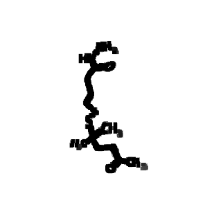 CC(=O)CCC(C)(C)SSCCCC(=O)NN